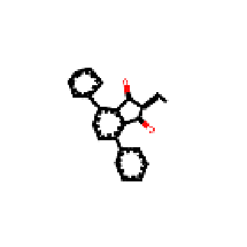 CC=C1C(=O)c2c(-c3ccccc3)ccc(-c3ccccc3)c2C1=O